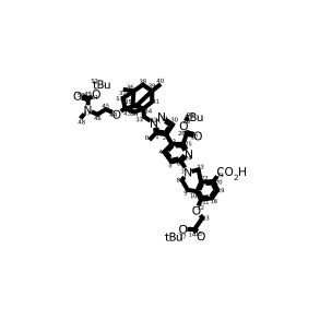 Cc1c(-c2ccc(N3CCc4c(OCC(=O)OC(C)(C)C)ccc(C(=O)O)c4C3)nc2C(=O)OC(C)(C)C)cnn1CC12CC3(C)CC(C)(C1)CC(OCCN(C)C(=O)OC(C)(C)C)(C3)C2